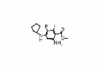 COC(=O)c1c(N)cc(NC2CCCC2)c(F)c1F